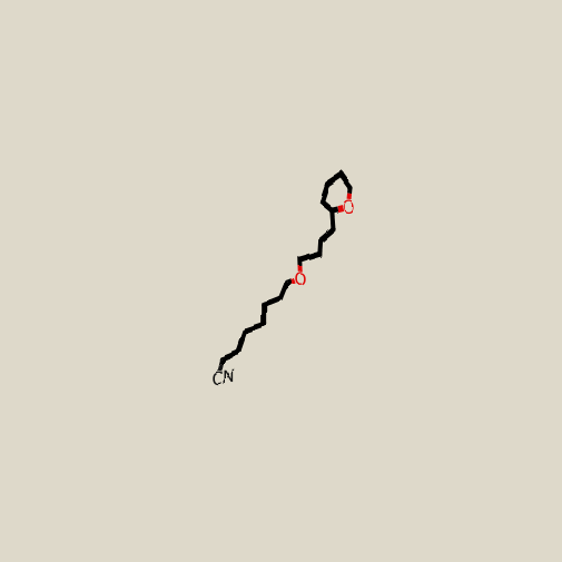 N#CCCCCCCCOCCCCC1CCCCO1